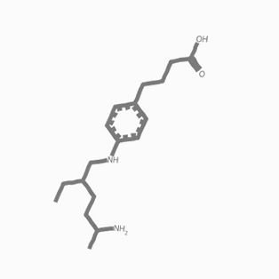 CCC(CCC(C)N)CNc1ccc(CCCC(=O)O)cc1